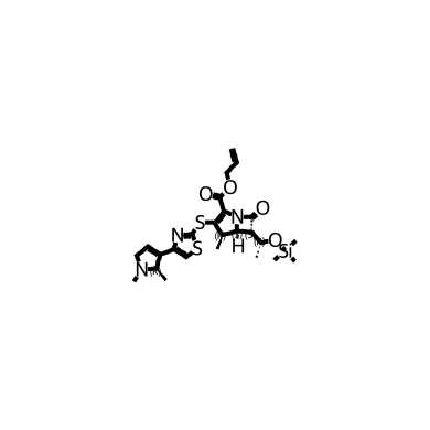 C=CCOC(=O)C1=C(Sc2nc(C3=CCN(C)[C@@H]3C)cs2)[C@H](C)[C@@H]2[C@@H]([C@@H](C)O[Si](C)(C)C)C(=O)N12